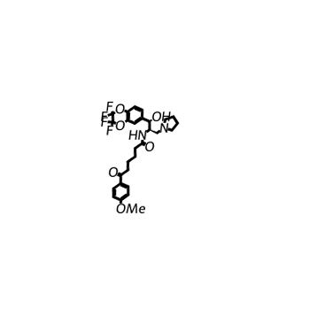 COc1ccc(C(=O)CCCCC(=O)N[C@H](CN2CCCC2)[C@H](O)c2ccc3c(c2)OC(F)(F)C(F)(F)O3)cc1